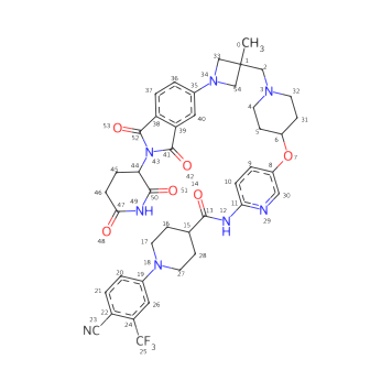 CC1(CN2CCC(Oc3ccc(NC(=O)C4CCN(c5ccc(C#N)c(C(F)(F)F)c5)CC4)nc3)CC2)CN(c2ccc3c(c2)C(=O)N(C2CCC(=O)NC2=O)C3=O)C1